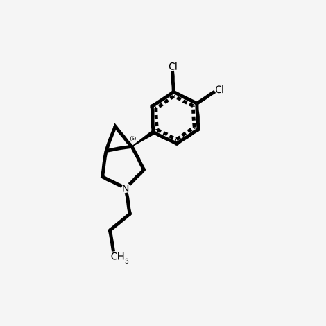 CCCN1CC2C[C@]2(c2ccc(Cl)c(Cl)c2)C1